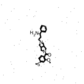 COc1cc(SC)ccc1C(=O)N1CC2CN(CC[C@H](N)c3ccccc3)CC2C1